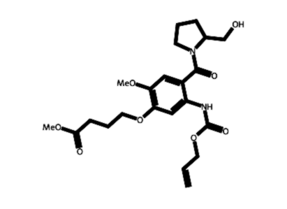 C=CCOC(=O)Nc1cc(OCCCC(=O)OC)c(OC)cc1C(=O)N1CCCC1CO